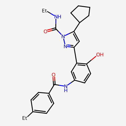 CCNC(=O)n1nc(-c2cc(NC(=O)c3ccc(CC)cc3)ccc2O)cc1C1CCCC1